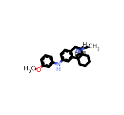 COc1cccc(Nc2ccc3c(c2)C24CCCC[C@H]2[C@@H](C3)N(C)CC4)c1